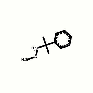 CC(C)([SiH2]O[SiH3])c1ccccc1